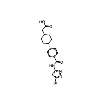 O=C(O)C[C@H]1CC[C@H](c2ccc(C(=O)Nc3nnc(Br)s3)cc2)CC1